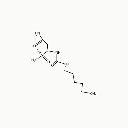 CCCCCCNC(=O)N[C@H](CC(N)=O)S(C)(=O)=O